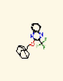 FC(F)(F)c1nc2ccccc2nc1OCC12CC3CC(CC(C3)C1)C2